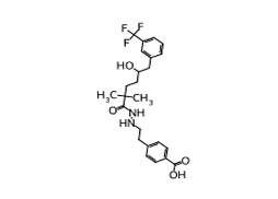 CC(C)(CCC(O)Cc1cccc(C(F)(F)F)c1)C(=O)NNCCc1ccc(C(=O)O)cc1